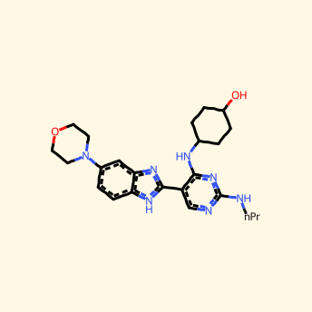 CCCNc1ncc(-c2nc3cc(N4CCOCC4)ccc3[nH]2)c(NC2CCC(O)CC2)n1